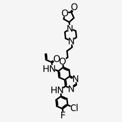 C=CC(=O)Nc1cc2c(Nc3ccc(F)c(Cl)c3)ncnc2cc1OCCCN1CCN(C2COC(=O)C2)CC1